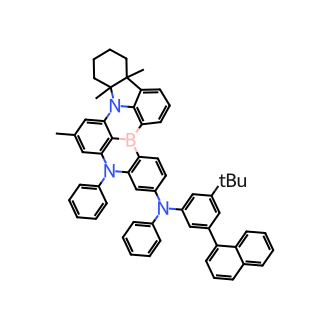 Cc1cc2c3c(c1)N1c4c(cccc4C4(C)CCCCC14C)B3c1ccc(N(c3ccccc3)c3cc(-c4cccc5ccccc45)cc(C(C)(C)C)c3)cc1N2c1ccccc1